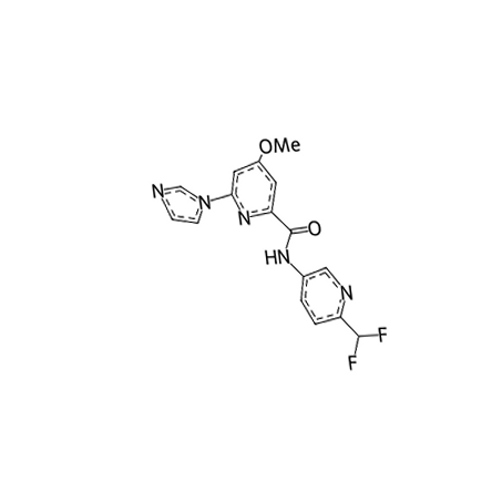 COc1cc(C(=O)Nc2ccc(C(F)F)nc2)nc(-n2ccnc2)c1